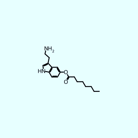 CCCCCCCC(=O)Oc1ccc2[nH]cc(CCN)c2c1